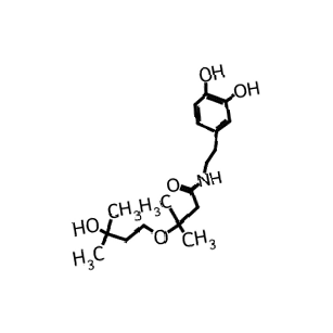 CC(C)(O)CCOC(C)(C)CC(=O)NCCc1ccc(O)c(O)c1